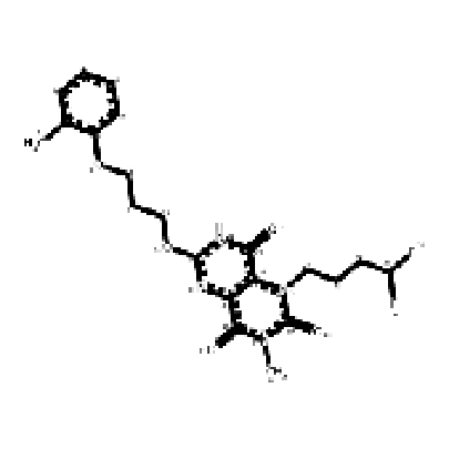 Cc1ccccc1OCCCOc1nc2c(=O)n(C)c(=O)n(CCCC(F)F)c2c(=O)[nH]1